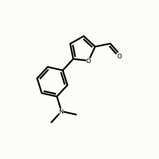 CN(C)c1cccc(-c2ccc(C=O)o2)c1